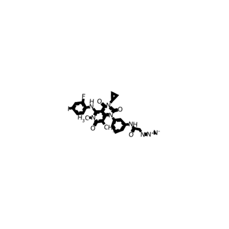 Cc1c(=O)n(C)c(Nc2ccc(I)cc2F)c2c(=O)n(C3CC3)c(=O)n(-c3cccc(NC(=O)CN=[N+]=[N-])c3)c12